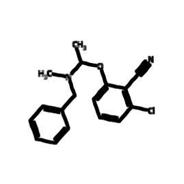 CC(Oc1cccc(Cl)c1C#N)N(C)Cc1ccccc1